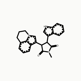 CN1C(=O)C(c2c[nH]c3ccccc23)C(c2cn3c4c(cccc24)CCC3)C1=O